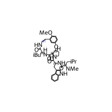 CCC(C)[C@@H]1NC(=O)[C@@H]2[C@H](CCN2C(=O)[C@H](Cc2c[nH]c3ccccc23)NC(=O)[C@H](CC(C)C)NC)Oc2ccc(OC)c(c2)/C=C\NC1=O